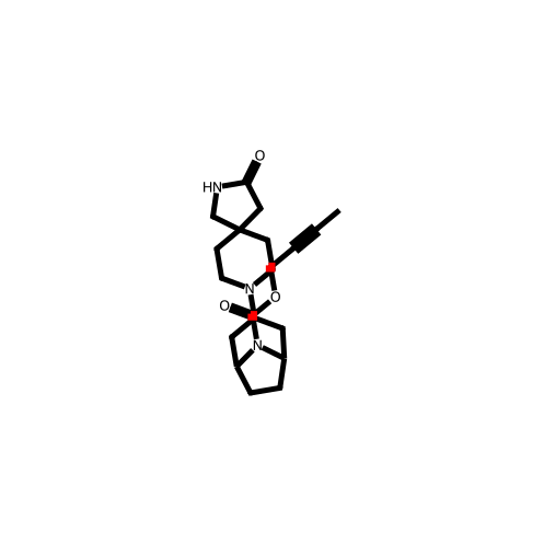 CC#CCOC(=O)N1C2CCC1CC(N1CCC3(CC1)CNC(=O)C3)C2